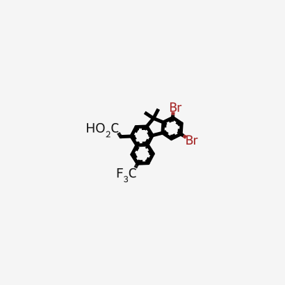 CC1(C)c2cc(CC(=O)O)c3cc(C(F)(F)F)ccc3c2-c2cc(Br)cc(Br)c21